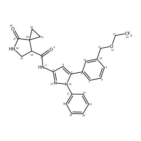 O=C(Nc1cc(-c2cccc(COCC(F)(F)F)c2)n(-c2ccccc2)n1)C1CNC(=O)C12CC2